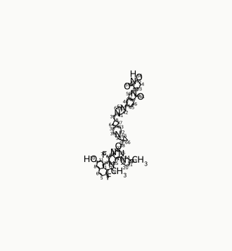 CCc1c(F)ccc2cc(O)cc(-c3ncc4c(N5CCC[C@H](C)C5)nc(OCC5(CN6CCC7(CC6)CC(CN6CCN(c8ccc9c(c8)CN([C@H]8CCC(=O)NC8=O)C9=O)CC6)C7)CC5)nc4c3F)c12